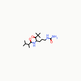 CC(C)C(C)C(=O)NC(CCCNC(N)=O)C(=O)C(C)(C)C